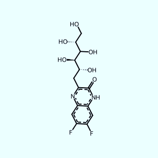 O=c1[nH]c2cc(F)c(F)cc2nc1C[C@@H](O)[C@@H](O)C(O)[C@H](O)CO